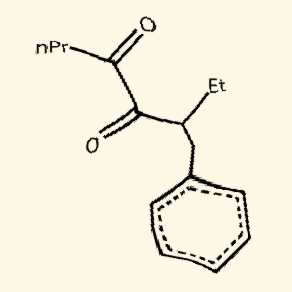 CCCC(=O)C(=O)C(CC)c1ccccc1